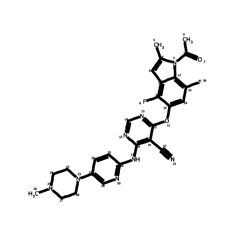 CC(=O)n1c(C)cc2c(F)c(Oc3ncnc(Nc4ccc(N5CCN(C)CC5)cn4)c3C#N)cc(F)c21